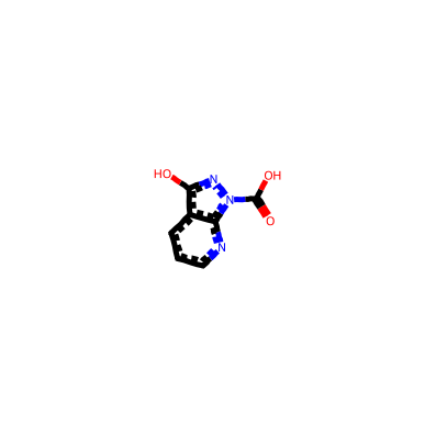 O=C(O)n1nc(O)c2cccnc21